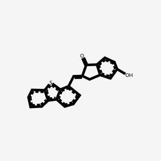 O=C1/C(=C/c2cccc3c2sc2ccccc23)Cc2cc(O)ccc21